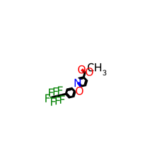 COC(=O)c1ccc(Oc2ccc(C(F)(F)C(F)(F)C(F)(F)F)cc2)nc1